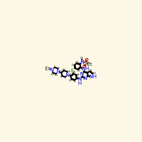 CCN1CCN(C2CCN(c3ccc(Nc4nc(Nc5ccccc5N(C)S(=O)(=O)CC)c5cc[nH]c5n4)cc3F)CC2)CC1